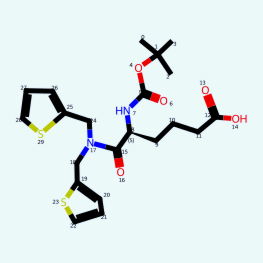 CC(C)(C)OC(=O)N[C@@H](CCCC(=O)O)C(=O)N(Cc1cccs1)Cc1cccs1